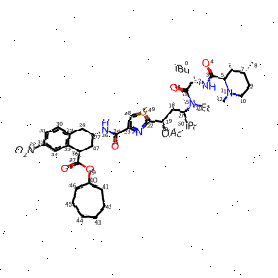 CC[C@H](C)[C@H](NC(=O)[C@H]1C[C@H](C)CCN1C)C(=O)N(CC)C(C[C@@H](OC(C)=O)c1nc(C(=O)N[C@H]2Cc3ccc([N+](=O)[O-])cc3[C@H](C(=O)OC3CCCCCC3)C2)cs1)C(C)C